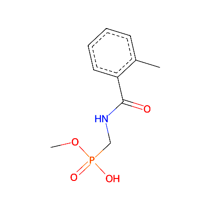 COP(=O)(O)CNC(=O)c1ccccc1C